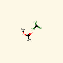 ClC(Cl)Cl.[2H]OC(=O)C(F)(F)F